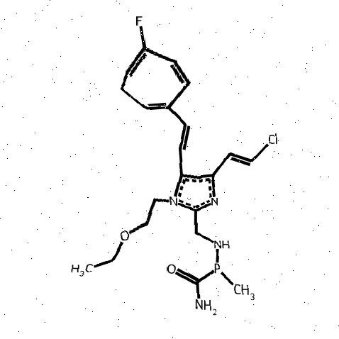 CCOCCn1c(CNP(C)C(N)=O)nc(/C=C/Cl)c1/C=C/C1=CCC=C(F)C=C1